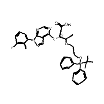 Cc1c(F)cccc1-n1ncc2c(O[C@H](C(=O)O)C(C)OCCO[Si](c3ccccc3)(c3ccccc3)C(C)(C)C)ncnc21